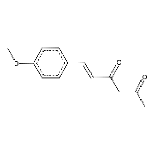 COc1ccc(/C=C/C(=O)CC(C)=O)cc1